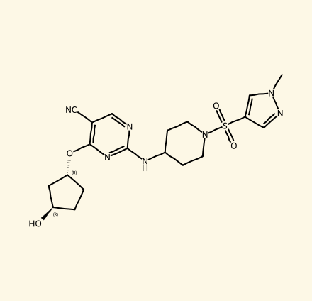 Cn1cc(S(=O)(=O)N2CCC(Nc3ncc(C#N)c(O[C@@H]4CC[C@@H](O)C4)n3)CC2)cn1